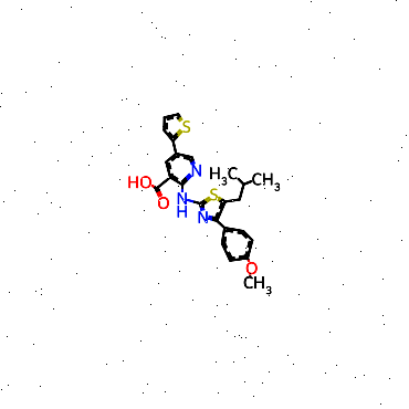 COc1ccc(-c2nc(Nc3ncc(-c4cccs4)cc3C(=O)O)sc2CC(C)C)cc1